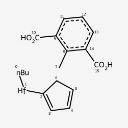 CCC[CH2][Hf][C]1=CC=CC1.Cc1c(C(=O)O)cccc1C(=O)O